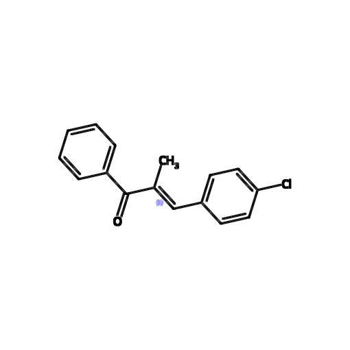 C/C(=C\c1ccc(Cl)cc1)C(=O)c1ccccc1